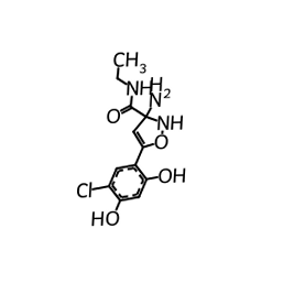 CCNC(=O)C1(N)C=C(c2cc(Cl)c(O)cc2O)ON1